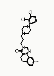 Cc1ccc2c(c1)-c1ncn(CCCN3CCN(c4cccc(Cl)c4Cl)CC3)c(=O)c1CC2